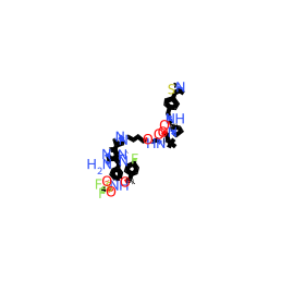 Cc1ncsc1-c1ccc(CNC(=O)[C@@H]2CCCN2C(=O)[C@@H](NC(=O)COCCCCn2cc(-c3cnc(N)c4c(-c5ccc(NS(=O)(=O)C(F)F)c(O[C@@H](C)c6ccc(F)cc6)c5)nn(C)c34)cn2)C(C)(C)C)cc1